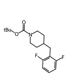 CC(C)(C)OC(=O)N1CCC(Cc2c(F)cccc2F)CC1